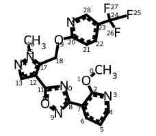 COc1ncccc1-c1noc(-c2cnn(C)c2COc2ccc(C(F)(F)F)cn2)n1